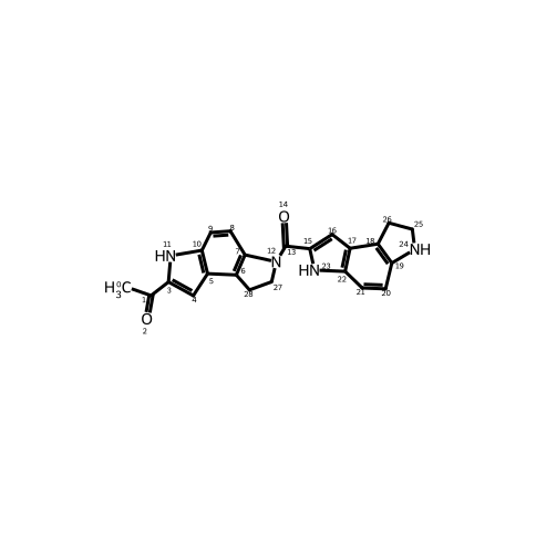 CC(=O)c1cc2c3c(ccc2[nH]1)N(C(=O)c1cc2c4c(ccc2[nH]1)NCC4)CC3